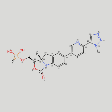 C=P(O)(O)OC[C@@H]1OC(=O)N2c3ccc(-c4ccc(-c5cnnn5C)nc4)cc3C[C@@H]12